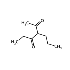 CCCC(C(C)=O)C(=O)CC